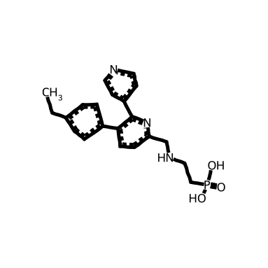 CCc1ccc(-c2ccc(CNCCP(=O)(O)O)nc2-c2ccncc2)cc1